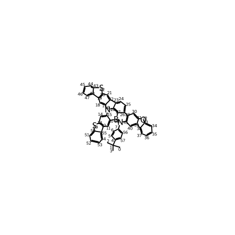 CC(C)(C)c1ccc(N2B3c4cc5c(cc4-n4c6cc7c(cc6c6ccc(c3c64)-c3cc4oc6ccccc6c4cc32)sc2ccccc27)sc2ccccc25)cc1